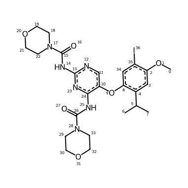 COc1cc(C(C)C)c(Oc2cnc(NC(=O)N3CCOCC3)nc2NC(=O)N2CCOCC2)cc1I